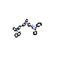 c1ccc(-c2cc(-c3ccccc3)nc(-c3ccc(-n4c5ccccc5c5cc(-c6ccc7c8ccccc8n(-c8cccc9ccccc89)c7c6)ccc54)cc3)c2)cc1